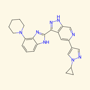 c1cc(N2CCCCC2)c2nc(-c3n[nH]c4cnc(-c5cnn(C6CC6)c5)cc34)[nH]c2c1